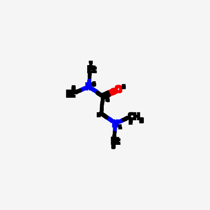 [CH2]CN(C)CC(=O)N(CC)CC